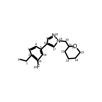 CCc1ccc(-c2cnn(CC3CCCCO3)c2)cc1F